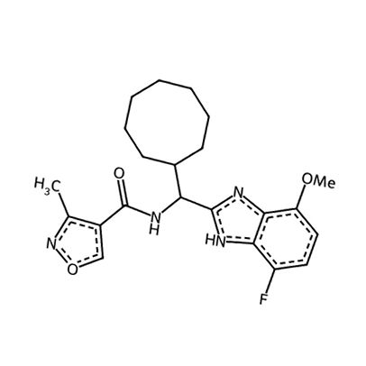 COc1ccc(F)c2[nH]c(C(NC(=O)c3conc3C)C3CCCCCCC3)nc12